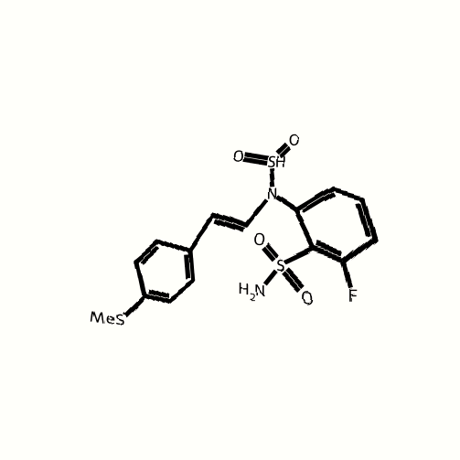 CSc1ccc(C=CN(c2cccc(F)c2S(N)(=O)=O)[SH](=O)=O)cc1